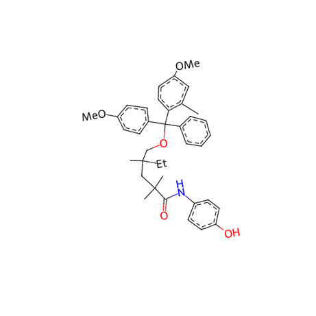 CCC(C)(COC(c1ccccc1)(c1ccc(OC)cc1)c1ccc(OC)cc1C)CC(C)(C)C(=O)Nc1ccc(O)cc1